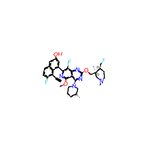 C#Cc1c(F)ccc2cc(O)cc(-c3nc(OC)c4c(N5CCC[C@@H](C)C5)nc(OC[C@]5(C)CN(C)CC[C@@H]5CF)nc4c3F)c12